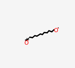 COCCCCCCCCCCC[C@@H]1CO1